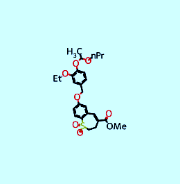 CCCOC(C)Oc1ccc(COc2ccc3c(c2)C=C(C(=O)OC)CCS3(=O)=O)cc1OCC